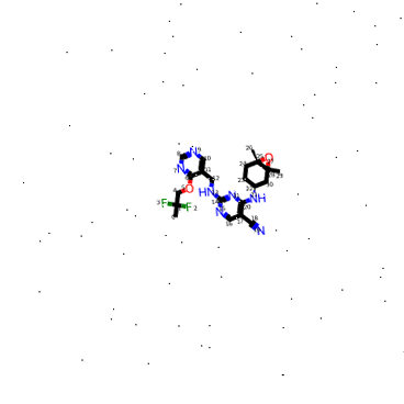 CC(F)(F)COc1ncncc1CNc1ncc(C#N)c(N[C@@H]2CC[C@]3(C)OC3(C)C2)n1